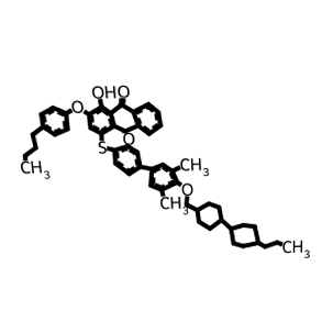 CCCCc1ccc(Oc2cc(Sc3ccc(-c4cc(C)c(OCC5CCC(C6CCC(CCC)CC6)CC5)c(C)c4)cc3)c3c(c2O)C(=O)c2ccccc2C3=O)cc1